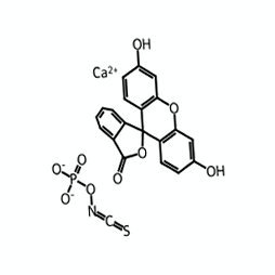 O=C1OC2(c3ccc(O)cc3Oc3cc(O)ccc32)c2ccccc21.O=P([O-])([O-])ON=C=S.[Ca+2]